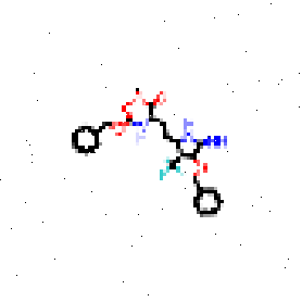 COC(=O)C(CCC1NC(=N)C(OCc2ccccc2)C1C(F)(F)F)NC(=O)OCc1ccccc1